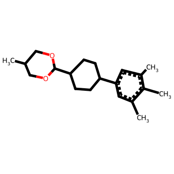 Cc1cc(C2CCC(C3OCC(C)CO3)CC2)cc(C)c1C